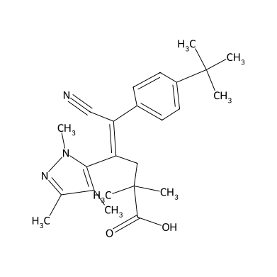 Cc1nn(C)c(C(CC(C)(C)C(=O)O)=C(C#N)c2ccc(C(C)(C)C)cc2)c1C